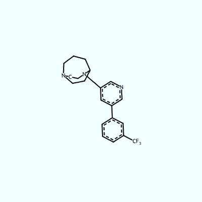 FC(F)(F)c1cccc(-c2cncc(N3CCN4CCCC3CC4)c2)c1